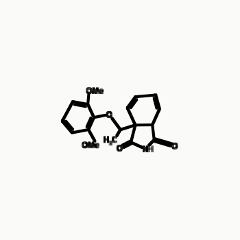 COc1cccc(OC)c1OC(C)C12C=CC=CC1C(=O)NC2=O